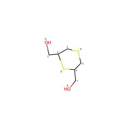 OCC1CSCC(CO)S1